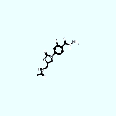 CC(=O)NCC1CN(c2ccc(C(=S)NN)c(F)c2)C(=O)O1